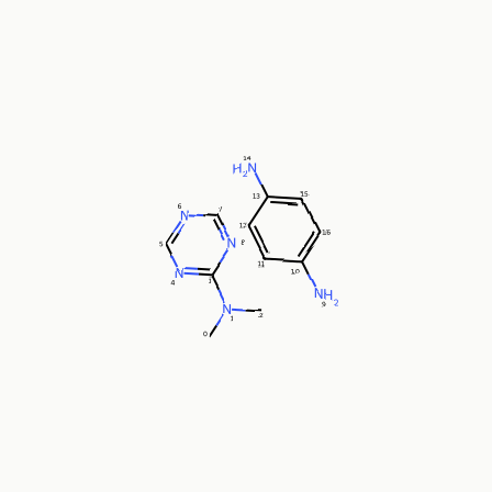 CN(C)c1ncncn1.Nc1ccc(N)cc1